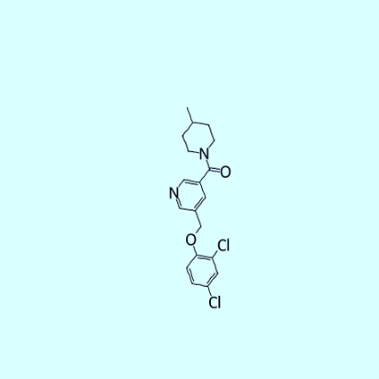 CC1CCN(C(=O)c2cncc(COc3ccc(Cl)cc3Cl)c2)CC1